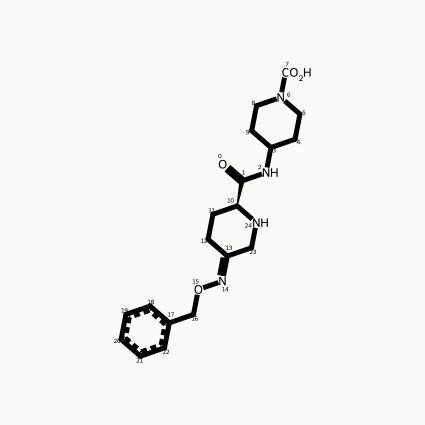 O=C(NC1CCN(C(=O)O)CC1)[C@@H]1CC/C(=N\OCc2ccccc2)CN1